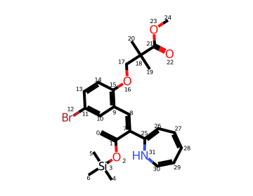 C=C(O[Si](C)(C)C)C(=Cc1cc(Br)ccc1OCC(C)(C)C(=O)OC)C1=CC=CC=CN1